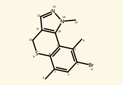 Cc1cc(Br)c(C)c2c1SCc1cnn(C)c1-2